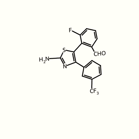 Nc1nc(-c2cccc(C(F)(F)F)c2)c(-c2c(F)cccc2C=O)s1